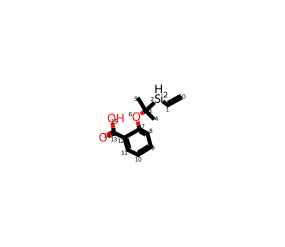 C=C[SiH2]C(C)(C)Oc1ccccc1C(=O)O